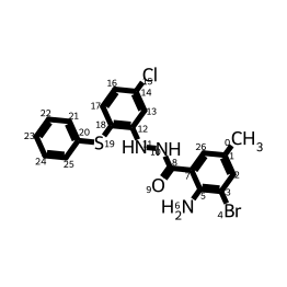 Cc1cc(Br)c(N)c(C(=O)NNc2cc(Cl)ccc2Sc2ccccc2)c1